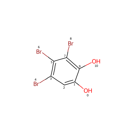 Oc1cc(Br)c(Br)c(Br)c1O